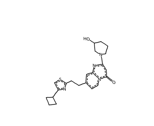 O=c1cc(N2CCCC(O)C2)nc2cc(CCc3nc(C4CCC4)cs3)ccn12